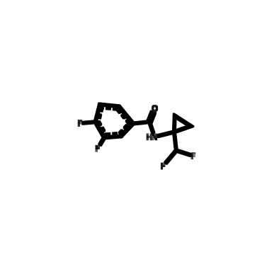 O=C(NC1(C(F)F)CC1)c1ccc(F)c(F)c1